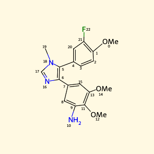 COc1ccc(-c2c(-c3cc(N)c(OC)c(OC)c3)ncn2C)cc1F